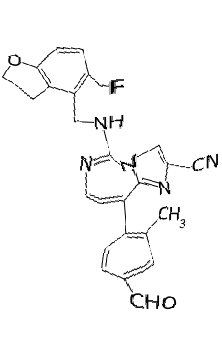 Cc1cc(C=O)ccc1-c1cnc(NCc2c(F)ccc3c2CCO3)n2cc(C#N)nc12